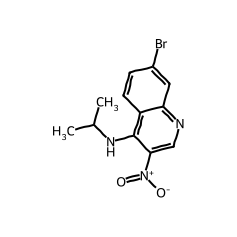 CC(C)Nc1c([N+](=O)[O-])cnc2cc(Br)ccc12